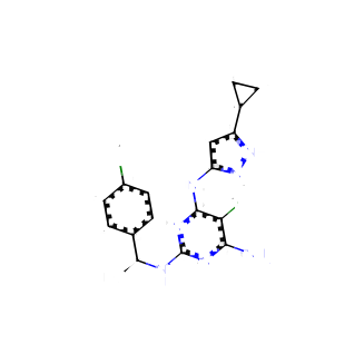 C[C@H](Nc1nc(N)c(Cl)c(Nc2cc(C3CC3)[nH]n2)n1)c1ccc(F)cc1